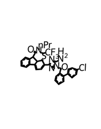 CCCN(CC(F)(F)F)C(=O)C1c2ccccc2C2=CC=C(c3nc(N)n(C(=O)c4ccccc4-c4ccc(Cl)cc4)n3)C(=S)C21